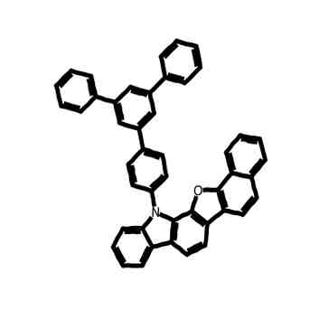 c1ccc(-c2cc(-c3ccccc3)cc(-c3ccc(-n4c5ccccc5c5ccc6c7ccc8ccccc8c7oc6c54)cc3)c2)cc1